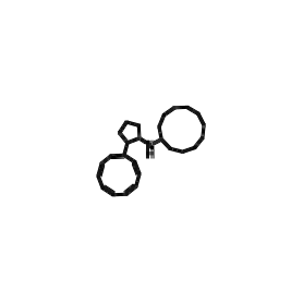 c1ccccc(C2CCCC2NC2CCCCCCCCCC2)cccc1